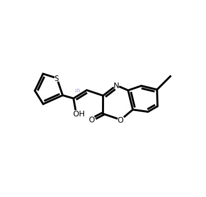 Cc1ccc2oc(=O)c(/C=C(\O)c3cccs3)nc2c1